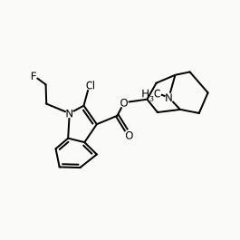 CN1C2CCCC1CC(OC(=O)c1c(Cl)n(CCF)c3ccccc13)C2